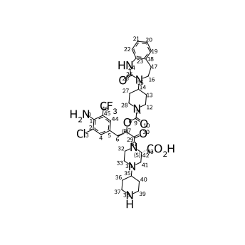 Nc1c(Cl)cc(C[C@@H](OC(=O)N2CCC(N3CCc4ccccc4NC3=O)CC2)C(=O)N2CCN(C3CCNCC3)C[C@H]2C(=O)O)cc1C(F)(F)F